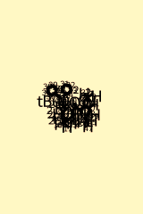 [2H]CC([2H])([2H])Oc1c(C(=O)N2C([2H])([2H])[C@]3([2H])C([2H])([2H])[C@]3([2H])C([2H])([2H])[C@@]2([2H])CO[Si](c2ccccc2)(c2ccccc2)C(C)(C)C)nc(C([2H])([2H])[2H])c([2H])c1[2H]